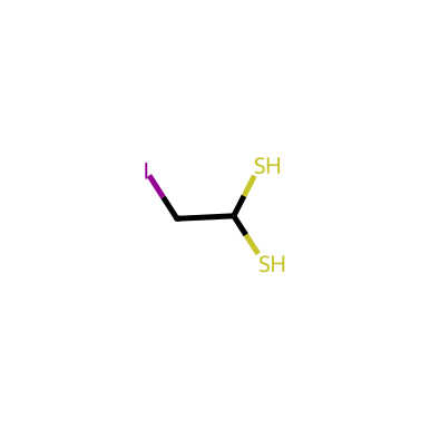 SC(S)CI